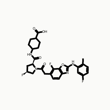 Cc1ccc(F)cc1Nc1nc2ccc(CC(=O)N3C[C@@H](F)C[C@H]3C(=O)NC3CCC(C(=O)O)CC3)c(F)c2o1